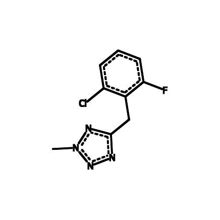 Cn1nnc(Cc2c(F)cccc2Cl)n1